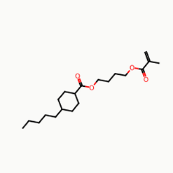 C=C(C)C(=O)OCCCCOC(=O)C1CCC(CCCCC)CC1